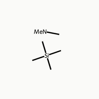 CNC.C[Si](C)(C)C